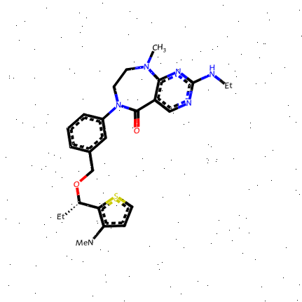 CCNc1ncc2c(n1)N(C)CCN(c1cccc(CO[C@@H](CC)c3sccc3NC)c1)C2=O